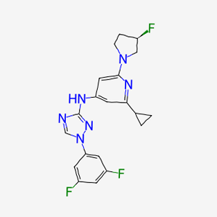 Fc1cc(F)cc(-n2cnc(Nc3cc(C4CC4)nc(N4CC[C@@H](F)C4)c3)n2)c1